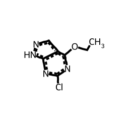 CCOc1nc(Cl)nc2[nH]ncc12